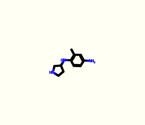 Cc1cc(N)ccc1NC1CCNC1